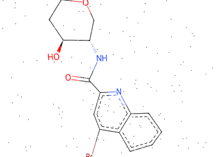 O=C(N[C@H]1COCC[C@@H]1O)c1cc(Br)c2ccccc2n1